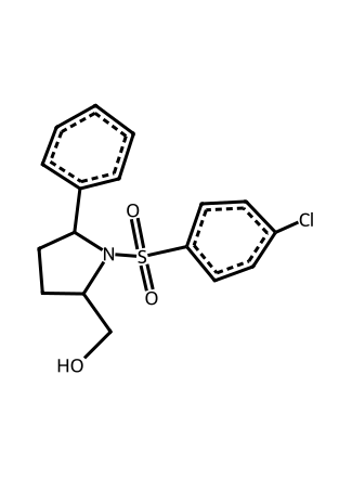 O=S(=O)(c1ccc(Cl)cc1)N1C(CO)CCC1c1ccccc1